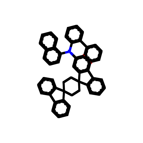 c1ccc(-c2ccccc2N(c2ccc3c(c2)C2(CCC4(CC2)c2ccccc2-c2ccccc24)c2ccccc2-3)c2cccc3ccccc23)cc1